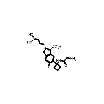 NCC(=O)NC1(c2cc3c(cc2F)C[C@H](CCCB(O)O)[C@@H]3C(=O)O)CCC1